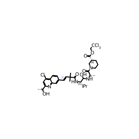 CC(C)[C@H](NC(=O)C(C)(C)/C=C/c1ccc2c(Cl)cc([C@@H](C)O)nc2c1)C(O)N[C@@H](C)C(=O)N1CCC[C@@H](C(=O)OCC(Cl)(Cl)Cl)C1